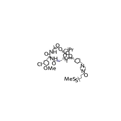 COc1ccc(C[C@H]2NC(=O)/C=C/C[C@@H]([C@H](C)[C@H]3O[C@@H]3c3ccc(CN4CCN(C(=O)CCC(C)(C)SSC)CC4)cc3)OC(=O)[C@H](CC(C)C)OC(=O)[C@H](C)CNC2=O)cc1Cl